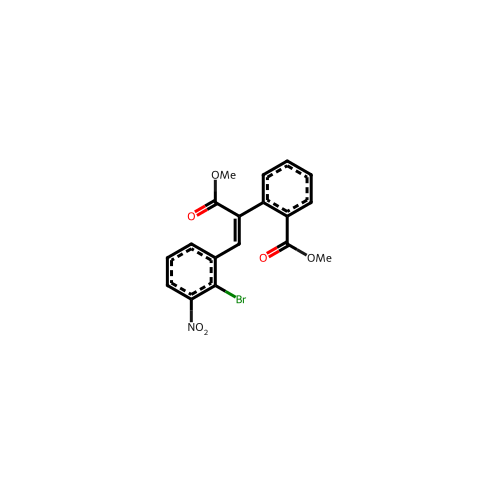 COC(=O)C(=Cc1cccc([N+](=O)[O-])c1Br)c1ccccc1C(=O)OC